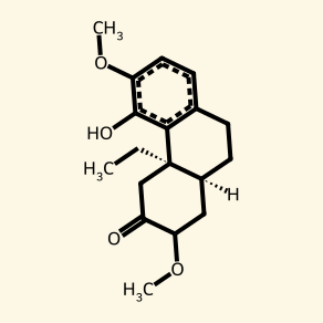 CC[C@@]12CC(=O)C(OC)C[C@@H]1CCc1ccc(OC)c(O)c12